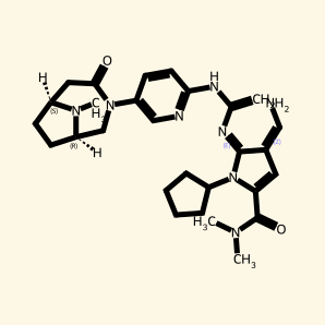 C=C(/N=C1\C(=C/N)C=C(C(=O)N(C)C)N1C1CCCC1)Nc1ccc(N2C[C@H]3CC[C@@H](CC2=O)N3C)cn1